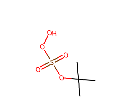 CC(C)(C)OS(=O)(=O)OO